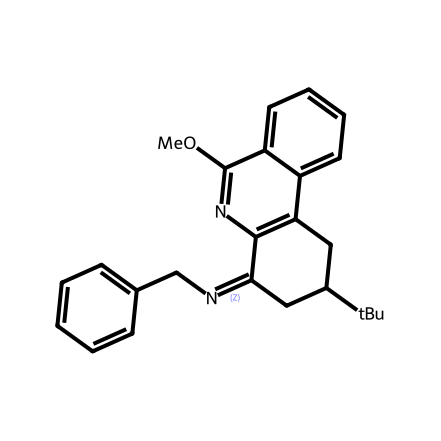 COc1nc2c(c3ccccc13)CC(C(C)(C)C)C/C2=N/Cc1ccccc1